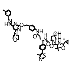 Cc1cccc(/C=N/Nc2cc(N3CCOCC3)nc(OCCc3ccc(NC(=O)CC[C@H](NC(=O)[C@@H]4C[C@@H](O)CN4C(=O)[C@@H](NC(=O)C4(F)CC4)C(C)(C)C)c4ccc(-c5scnc5C)cc4)cc3)n2)c1